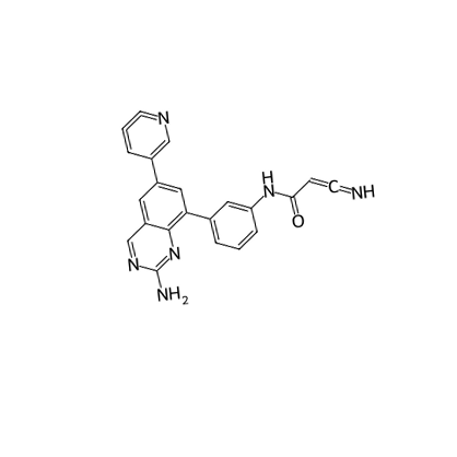 N=C=CC(=O)Nc1cccc(-c2cc(C3=CN=C=C=C3)cc3cnc(N)nc23)c1